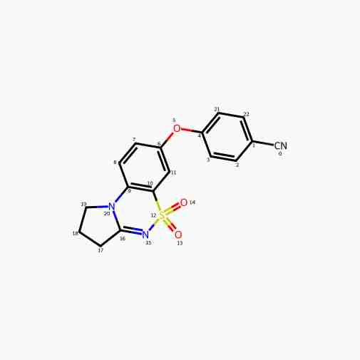 N#Cc1ccc(Oc2ccc3c(c2)S(=O)(=O)N=C2CCCN23)cc1